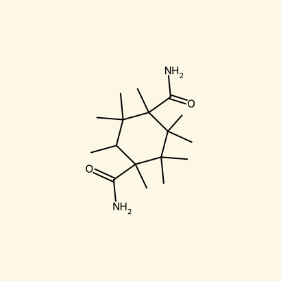 CC1C(C)(C)C(C)(C(N)=O)C(C)(C)C(C)(C)C1(C)C(N)=O